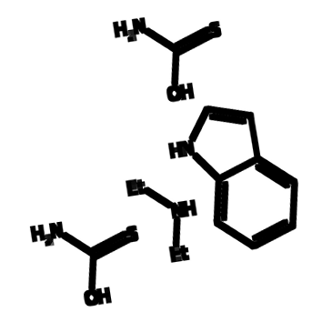 CCNCC.NC(O)=S.NC(O)=S.c1ccc2[nH]ccc2c1